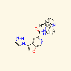 C[C@H]1[C@H](NC(=O)c2cc3c(-n4ccnn4)coc3cn2)C2CCN1CC2